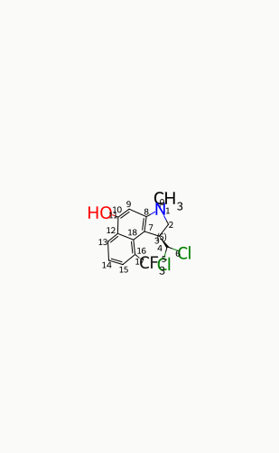 CN1C[C@@H](C(Cl)Cl)c2c1cc(O)c1cccc(C(F)(F)F)c21